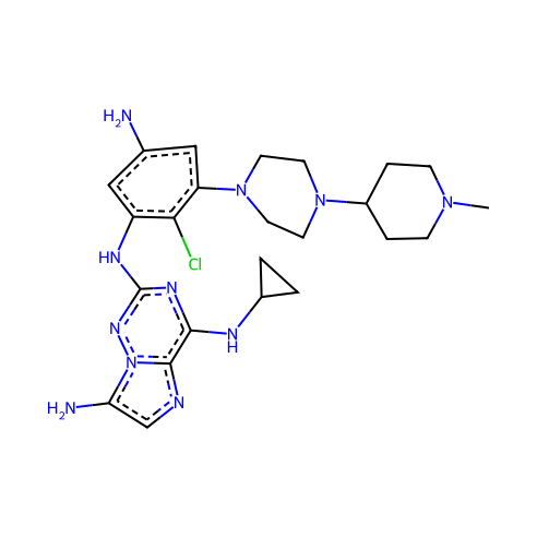 CN1CCC(N2CCN(c3cc(N)cc(Nc4nc(NC5CC5)c5ncc(N)n5n4)c3Cl)CC2)CC1